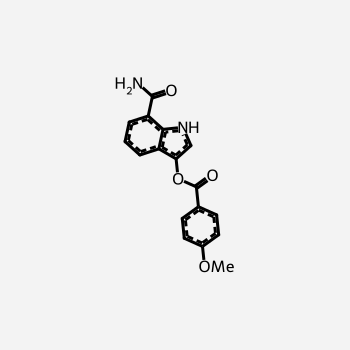 COc1ccc(C(=O)Oc2c[nH]c3c(C(N)=O)cccc23)cc1